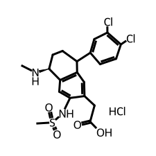 CN[C@H]1CCC(c2ccc(Cl)c(Cl)c2)c2cc(CC(=O)O)c(NS(C)(=O)=O)cc21.Cl